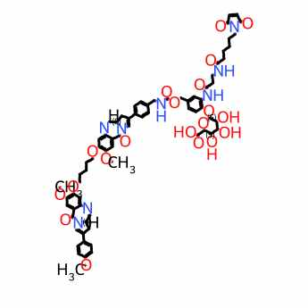 COc1ccc(C2=CN3C(=O)c4cc(OC)c(OCCCCCOc5cc6c(cc5OC)C(=O)N5C=C(c7ccc(CNC(=O)OCc8ccc(O[C@@H]9OC(C(=O)O)[C@@H](O)C(O)C9O)c(NC(=O)CCNC(=O)CCCCCN9C(=O)C=CC9=O)c8)cc7)C[C@H]5C=N6)cc4N=C[C@@H]3C2)cc1